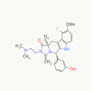 C=C1N(CCN(C)C)C(=O)[C@]2(C)Cc3c([nH]c4ccc(OC)c(F)c34)[C@@H](c3cccc(O)c3)N12